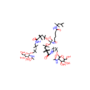 COCC(COC(C)(C)CC(C)(C)C(=O)NCC(C)(C)CC(C)(C)COC1OC(CO)C(O)C(O)C1NC(C)=O)(COC(C)(C)CC(C)(C)C(=O)NCC(C)(C)CC(C)(C)COC1OC(CO)C(O)C(O)C1NC(C)=O)NC(=O)CCCC(=O)NC(C)(C)CC(C)C